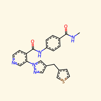 CNC(=O)c1ccc(NC(=O)c2ccncc2-n2cc(Cc3ccsc3)cn2)cc1